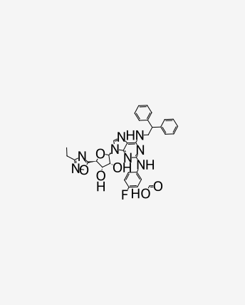 CCc1noc([C@H]2O[C@@H](n3cnc4c(NCC(c5ccccc5)c5ccccc5)nc(Nc5ccc(F)cc5)nc43)[C@H](O)[C@@H]2O)n1.O=CO